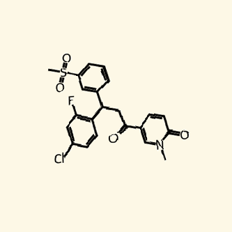 Cn1cc(C(=O)CC(c2cccc(S(C)(=O)=O)c2)c2ccc(Cl)cc2F)ccc1=O